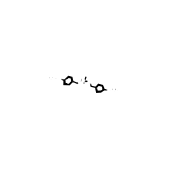 COc1ccc(CO[Si](C)(C)OCc2ccc(OC)cc2)cc1